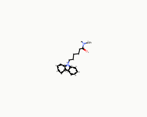 CCCN(C)C(=O)CCCCCn1c2ccccc2c2ccccc21